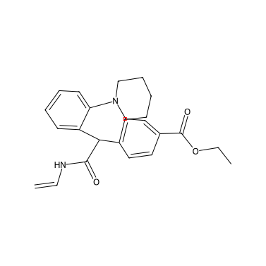 C=CNC(=O)C(c1ccc(C(=O)OCC)cc1)c1ccccc1N1CCCCC1